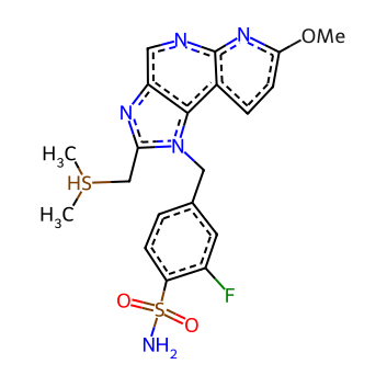 COc1ccc2c(ncc3nc(C[SH](C)C)n(Cc4ccc(S(N)(=O)=O)c(F)c4)c32)n1